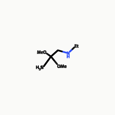 CCNCC([SiH3])(OC)OC